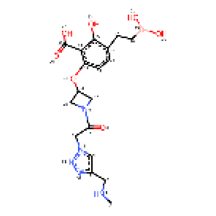 CNCc1cn(CC(=O)N2CC(Oc3ccc(CCB(O)O)c(O)c3C(=O)O)C2)nn1